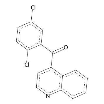 O=C(c1cc(Cl)ccc1Cl)c1ccnc2ccccc12